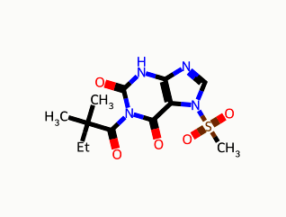 CCC(C)(C)C(=O)n1c(=O)[nH]c2ncn(S(C)(=O)=O)c2c1=O